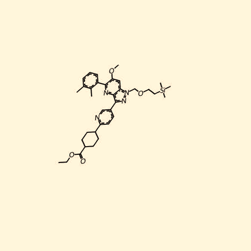 CCOC(=O)C1CCC(c2ccc(-c3nn(COCC[Si](C)(C)C)c4cc(OC)c(-c5cccc(C)c5C)nc34)cn2)CC1